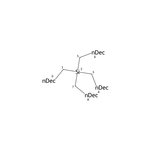 CCCCCCCCCCC[Si](CCCCCCCCCCC)(CCCCCCCCCCC)CCCCCCCCCCC